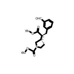 CC(C)(C)OC(=O)[C@@H](Cc1cccc(C=O)c1)[C@@H]1CCN(C(=O)OC(C)(C)C)C1